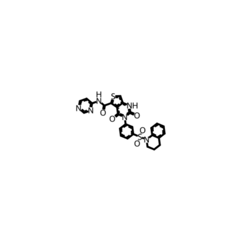 O=C(Nc1ccncn1)c1scc2[nH]c(=O)n(-c3cccc(S(=O)(=O)N4CCCc5ccccc54)c3)c(=O)c12